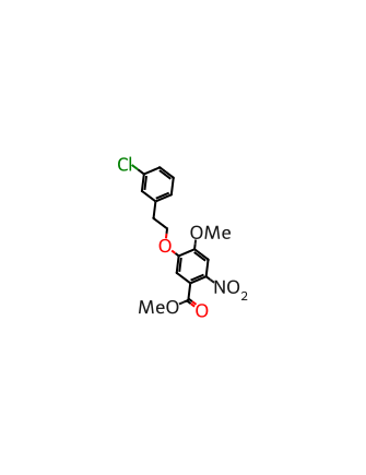 COC(=O)c1cc(OCCc2cccc(Cl)c2)c(OC)cc1[N+](=O)[O-]